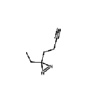 C#CCCC1(CC)N=N1